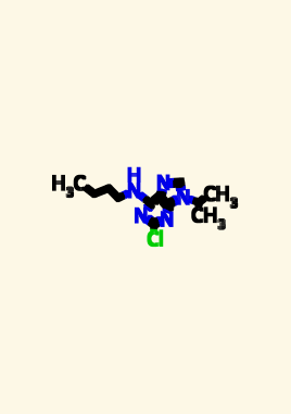 CCCCNc1nc(Cl)nc2c1ncn2C(C)C